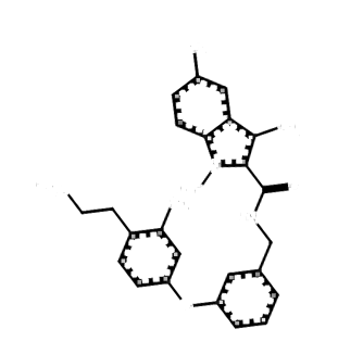 Cc1cc(Oc2cccc(CNC(=O)c3c(C)c4cc(C(F)(F)F)ccc4n3C)c2)ccc1CCC(=O)O